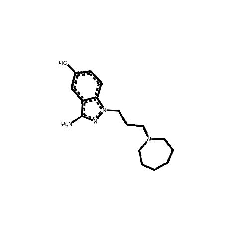 Nc1nn(CCCN2CCCCCC2)c2ccc(O)cc12